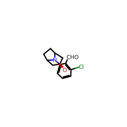 O=Cc1c(Cl)cccc1N1C2CCC1CC(=O)C2